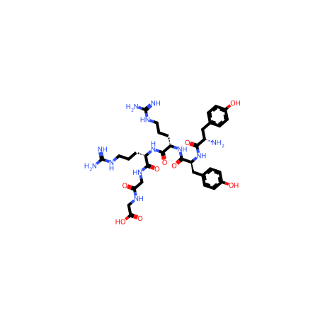 N=C(N)NCCC[C@H](NC(=O)[C@H](CCCNC(=N)N)NC(=O)[C@H](Cc1ccc(O)cc1)NC(=O)[C@@H](N)Cc1ccc(O)cc1)C(=O)NCC(=O)NCC(=O)O